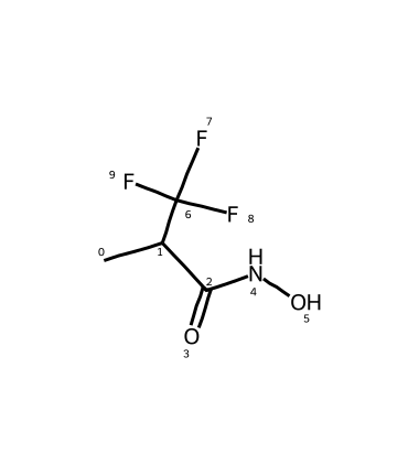 CC(C(=O)NO)C(F)(F)F